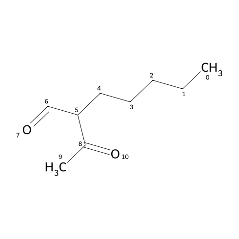 CCCCCC(C=O)C(C)=O